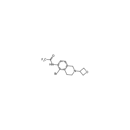 O=C(Nc1ccc2c(c1Br)CCN(C1COC1)C2)C(F)(F)F